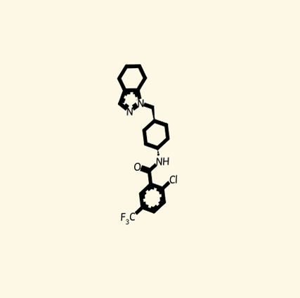 O=C(N[C@H]1CC[C@H](Cn2ncc3c2CCCC3)CC1)c1cc(C(F)(F)F)ccc1Cl